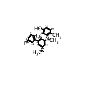 COc1cc(-c2cccc(F)c2)cc(N(C)c2c(C)ccc(O)c2C)c1